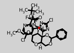 COCO[C@H]1CO[C@@H]2COC(c3ccccc3)O[C@@]2(c2nc(Cl)nn2-c2cc(Cl)cnc2C(F)(F)F)[C@@H]1NNC(=O)OC(C)(C)C